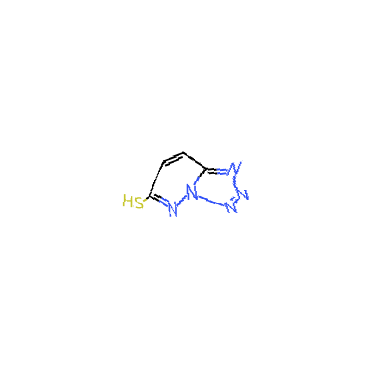 Sc1ccc2nnnn2n1